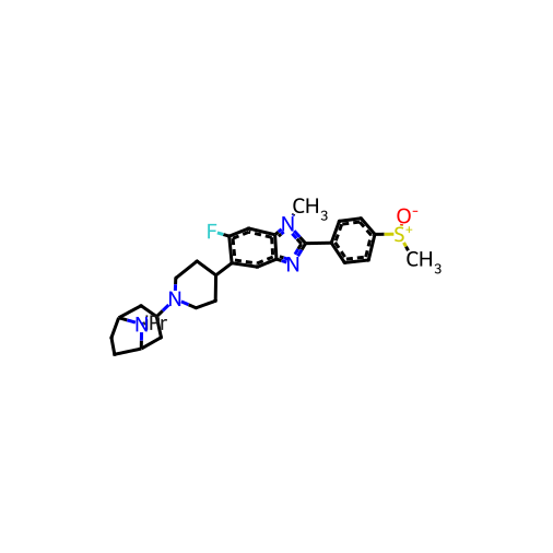 CC(C)N1C2CCC1CC(N1CCC(c3cc4nc(-c5ccc([S+](C)[O-])cc5)n(C)c4cc3F)CC1)C2